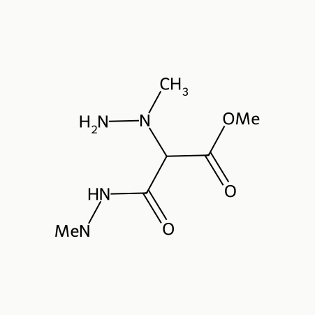 CNNC(=O)C(C(=O)OC)N(C)N